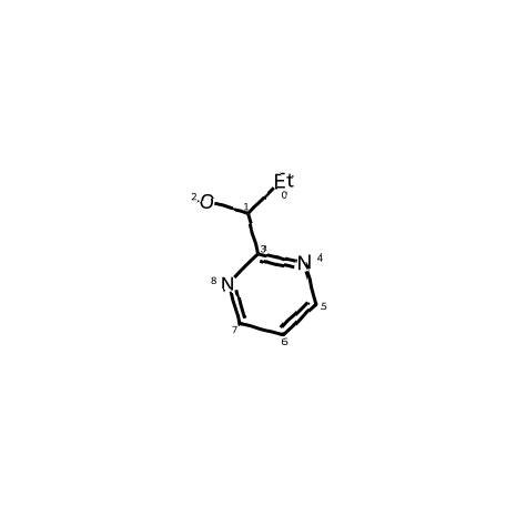 CCC([O])c1ncccn1